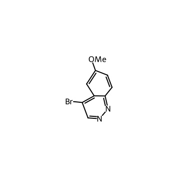 COc1ccc2nncc(Br)c2c1